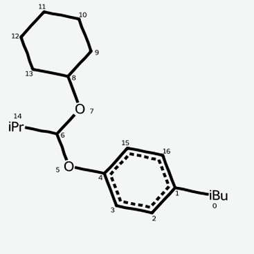 CCC(C)c1ccc(OC(OC2CCCCC2)C(C)C)cc1